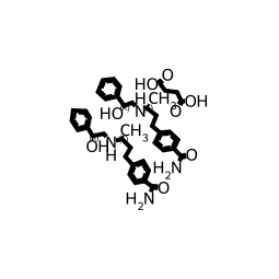 C[C@@H](CCc1ccc(C(N)=O)cc1)NC[C@H](O)c1ccccc1.C[C@@H](CCc1ccc(C(N)=O)cc1)NC[C@H](O)c1ccccc1.O=C(O)CCC(=O)O